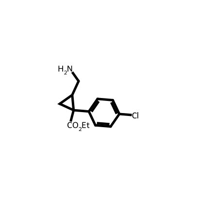 CCOC(=O)C1(c2ccc(Cl)cc2)CC1CN